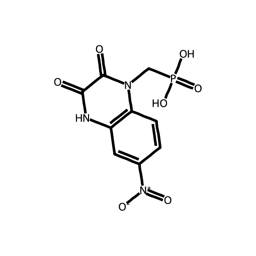 O=c1[nH]c2cc([N+](=O)[O-])ccc2n(CP(=O)(O)O)c1=O